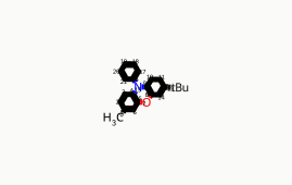 Cc1ccc2c(c1)OC1=C(CCC(C(C)(C)C)=C1)N2c1ccccc1